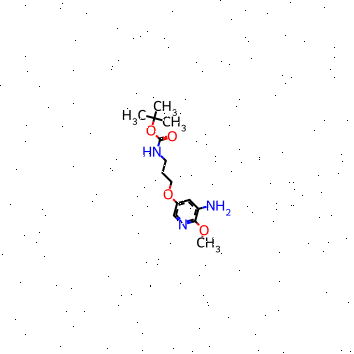 COc1ncc(OCCCNC(=O)OC(C)(C)C)cc1N